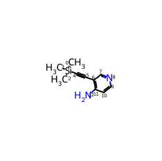 C[Si](C)(C)C#Cc1cnccc1N